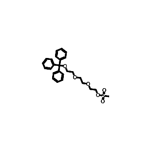 CS(=O)(=O)OCCOCCOCCOC(c1ccccc1)(c1ccccc1)c1ccccc1